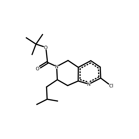 CC(C)CC1Cc2nc(Cl)ccc2CN1C(=O)OC(C)(C)C